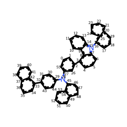 c1cc(-c2cccc3c2c2ccccc2n3-c2cccc3ccccc23)cc(N(c2ccc(-c3cccc4ccccc34)cc2)c2cccc3ccccc23)c1